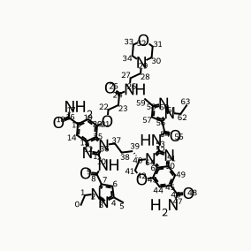 CCn1nc(C)cc1C(=O)Nc1nc2cc(C(N)=O)cc(OCCC(=O)NCCN3CCOCC3)c2n1CCC[C@H]1COc2cc(C(N)=O)cc3nc(NC(=O)c4cc(C)nn4CC)n1c23